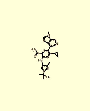 Cc1nn(C(C)(C)C#N)cc1Nc1nc(C2CC2)c(-c2cncc3c2ncn3C)nc1C(N)=O